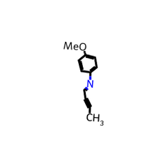 CC#C/C=N/c1ccc(OC)cc1